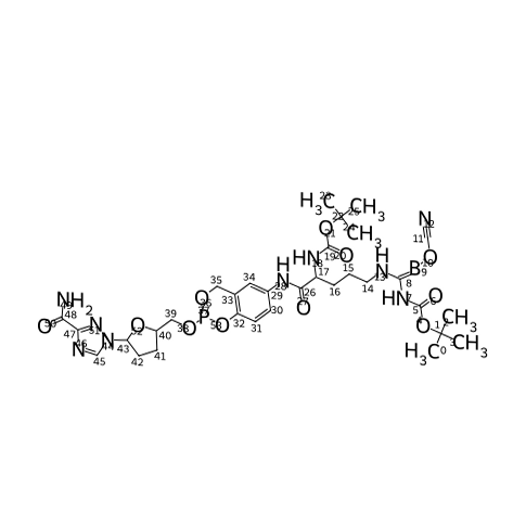 CC(C)(C)OC(=O)NC(=BOC#N)NCCCC(NC(=O)OC(C)(C)C)C(=O)Nc1ccc2c(c1)COP(OCC1CCC(n3cnc(C(N)=O)n3)O1)O2